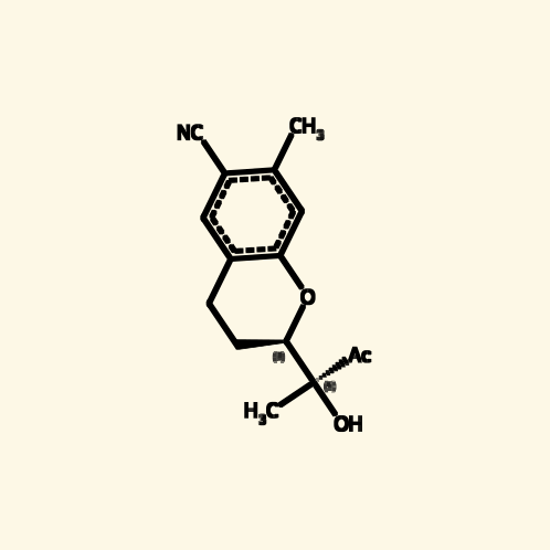 CC(=O)[C@@](C)(O)[C@H]1CCc2cc(C#N)c(C)cc2O1